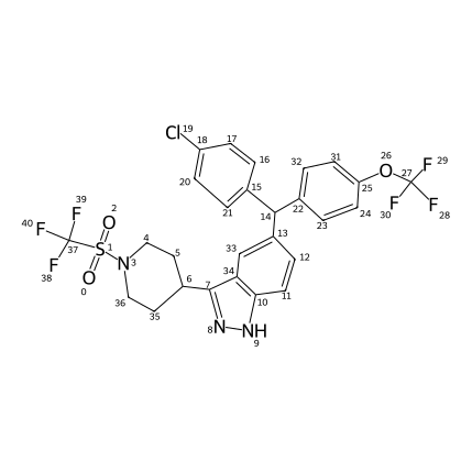 O=S(=O)(N1CCC(c2n[nH]c3ccc(C(c4ccc(Cl)cc4)c4ccc(OC(F)(F)F)cc4)cc23)CC1)C(F)(F)F